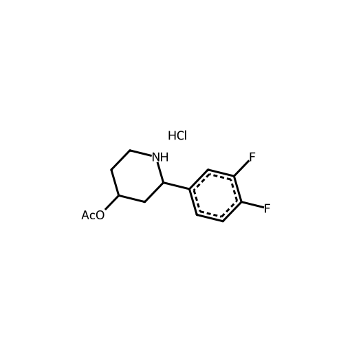 CC(=O)OC1CCNC(c2ccc(F)c(F)c2)C1.Cl